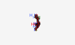 Cc1ncsc1-c1ccc([C@H](C)NC(=O)[C@@H]2C[C@@H](O)CN2C(=O)[C@@H](NC(=O)CCCCCc2ccc(Cl)c(OC[C@@H](C)CCC(N)=O)c2)C(C)(C)C)cc1